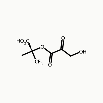 C[C@@](OC(=O)C(=O)CO)(C(=O)O)C(F)(F)F